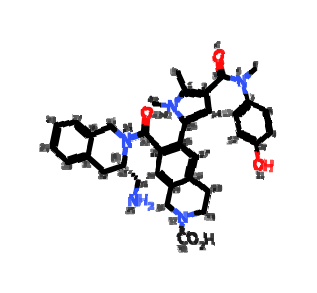 Cc1c(C(=O)N(C)c2ccc(O)cc2)cc(-c2cc3c(cc2C(=O)N2Cc4ccccc4C[C@H]2CN)CN(C(=O)O)CC3)n1C